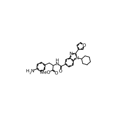 COC(=O)C(Cc1ccc(N)cc1)NC(=O)c1ccc2c(c1)nc(-c1ccoc1)n2C1CCCCC1